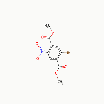 COC(=O)c1cc([N+](=O)[O-])c(C(=O)OC)cc1Br